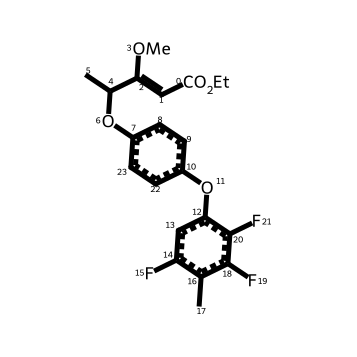 CCOC(=O)C=C(OC)C(C)Oc1ccc(Oc2cc(F)c(C)c(F)c2F)cc1